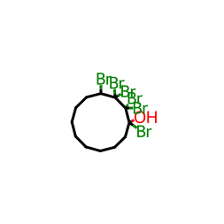 OC1(Br)CCCCCCCCC(Br)C(Br)(Br)C1(Br)Br